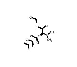 CN(C)C(=O)C(Cl)Cl.ClCCl.ClCCl.ClCCl.ClCCl